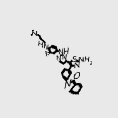 CN(C)CCCNc1ccc(Nc2nccc(-c3sc(N)nc3-c3cccc(N(C)C(=O)C4CCCCC4)c3)n2)cc1F